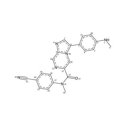 CNc1ccc(-c2cnc3cnc(C(=O)N(C)c4ccc(C#N)cc4)cn23)cc1